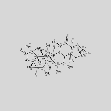 CC(=O)O[C@H]1C2C([C@@H]3[C@@H](O)[C@@H]4[C@H]([C@H](C)[C@H]5N[C@]56OC(=O)[C@@](C)(O)[C@]46C)[C@@]3(C)[C@H]1OC(C)=O)[C@@H](O)C(=O)[C@H]1C[C@@H]3O[C@@H]3C[C@]21C